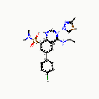 Cc1nnc(C(C)Nc2ncnc3c(S(=O)(=O)N(C)C)cc(-c4ccc(F)cc4)cc23)s1